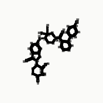 O=C1CCC(N2Cc3cc(S[C@H]4CCN(C(=O)c5ccccc5-c5ccc(Cl)cc5)CC4(F)F)ccc3C2=O)C(=O)N1